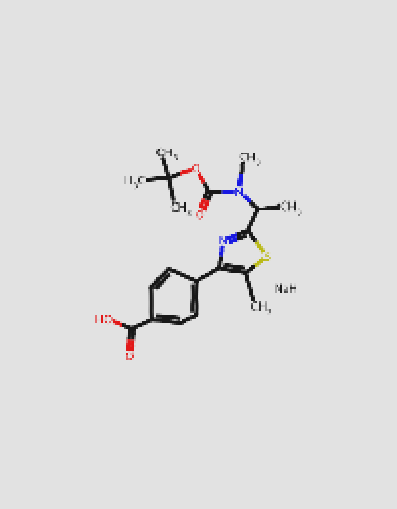 Cc1sc([C@H](C)N(C)C(=O)OC(C)(C)C)nc1-c1ccc(C(=O)O)cc1.[NaH]